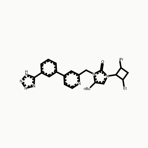 CCCCc1cn(C2C(CC)CC2C(C)C)c(=O)n1Cc1cc(-c2cccc(-c3nnn[nH]3)c2)ccn1